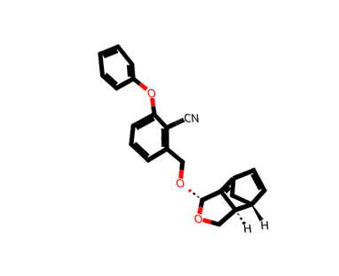 N#Cc1c(CO[C@H]2OC[C@H]3C2=C2C=C[C@H]3C2)cccc1Oc1ccccc1